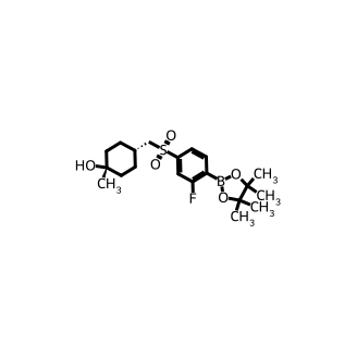 CC1(C)OB(c2ccc(S(=O)(=O)C[C@H]3CC[C@@](C)(O)CC3)cc2F)OC1(C)C